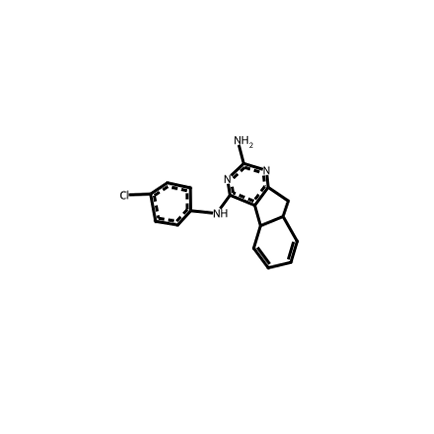 Nc1nc2c(c(Nc3ccc(Cl)cc3)n1)C1C=CC=CC1C2